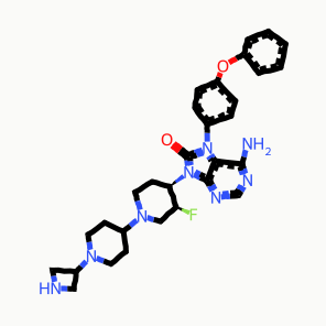 Nc1ncnc2c1n(-c1ccc(Oc3ccccc3)cc1)c(=O)n2[C@@H]1CCN(C2CCN(C3CNC3)CC2)C[C@@H]1F